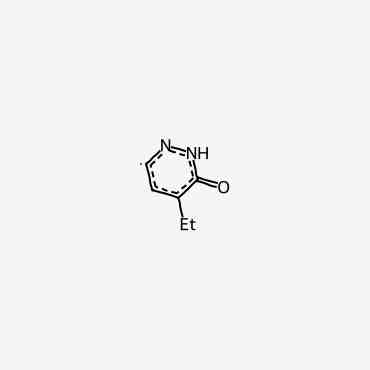 CCc1c[c]n[nH]c1=O